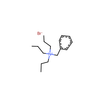 CCC[N+](CCC)(CCC)Cc1ccccc1.[Br-]